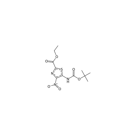 CCOC(=O)c1nc([N+](=O)[O-])c(NC(=O)OC(C)(C)C)s1